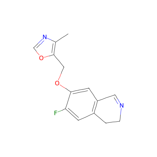 Cc1ncoc1COc1cc2c(cc1F)CCN=C2